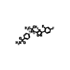 CC1(C)[C@@H](c2ccc(S(N)(=O)=O)cc2)[C@@H]1c1nc(-c2ccc(F)cc2F)no1